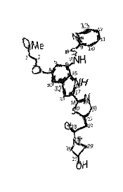 COCCOc1cc(NSc2ccccn2)c2[nH]c(C3=NCC(CC(=O)N4CC(O)C4)S3)cc2c1